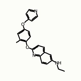 CCNc1ccc2nc(Oc3ccc(Oc4ccncc4)cc3C)ccc2c1